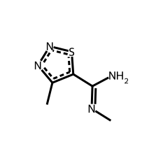 CN=C(N)c1snnc1C